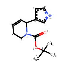 CC(C)(C)OC(=O)N1CCC=CC1c1cc[nH]c1